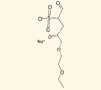 CCOCCOCC(=O)CC(C=O)S(=O)(=O)[O-].[Na+]